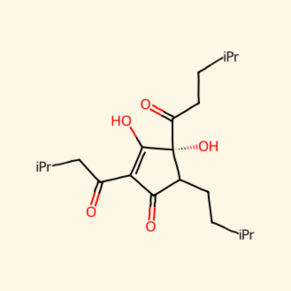 CC(C)CCC(=O)[C@]1(O)C(O)=C(C(=O)CC(C)C)C(=O)C1CCC(C)C